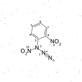 N#[N+]N(c1ccccc1[N+](=O)[O-])[N+](=O)[O-]